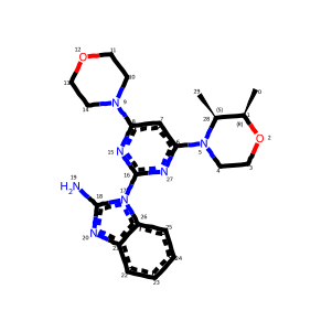 C[C@H]1OCCN(c2cc(N3CCOCC3)nc(-n3c(N)nc4ccccc43)n2)[C@H]1C